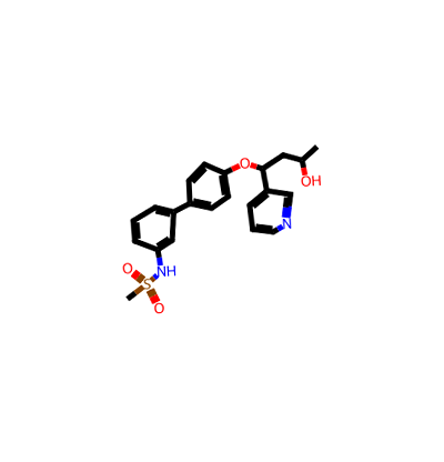 CC(O)CC(Oc1ccc(-c2cccc(NS(C)(=O)=O)c2)cc1)c1cccnc1